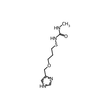 CNC(=O)NSCCCOCc1c[nH]cn1